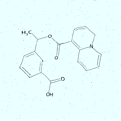 CC(OC(=O)C1=C2C=CC=CN2CC=C1)c1cccc(C(=O)O)c1